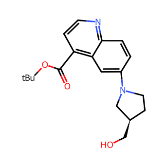 CC(C)(C)OC(=O)c1ccnc2ccc(N3CC[C@@H](CO)C3)cc12